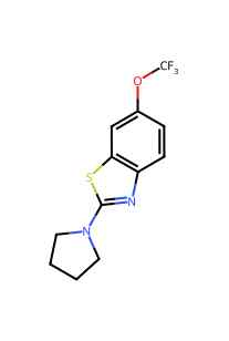 FC(F)(F)Oc1ccc2nc(N3CCCC3)sc2c1